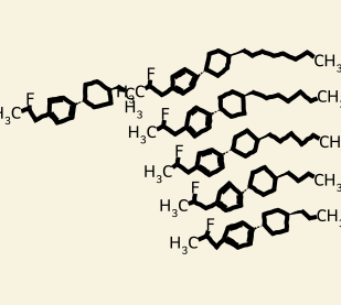 CCCCCCCC[C@H]1CC[C@H](c2ccc(CC(C)F)cc2)CC1.CCCCCCC[C@H]1CC[C@H](c2ccc(CC(C)F)cc2)CC1.CCCCCC[C@H]1CC[C@H](c2ccc(CC(C)F)cc2)CC1.CCCC[C@H]1CC[C@H](c2ccc(CC(C)F)cc2)CC1.CCC[C@H]1CC[C@H](c2ccc(CC(C)F)cc2)CC1.CC[C@H]1CC[C@H](c2ccc(CC(C)F)cc2)CC1